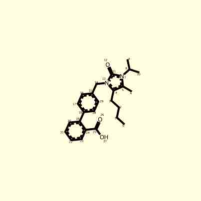 CCCCc1c(C)n(C(C)C)c(=O)n1Cc1ccc(-c2ccccc2C(=O)O)cc1